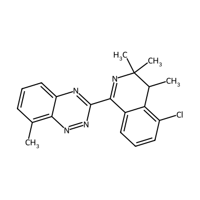 Cc1cccc2nc(C3=NC(C)(C)C(C)c4c(Cl)cccc43)nnc12